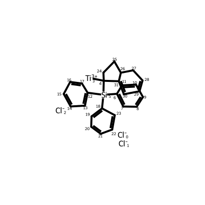 [Cl-].[Cl-].[Cl-].[Ti+3][C]1([Si](c2ccccc2)(c2ccccc2)c2ccccc2)CCC2CC=CC=C21